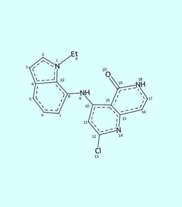 CCn1ccc2cccc(Nc3cc(Cl)nc4cc[nH]c(=O)c34)c21